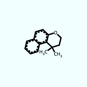 CC1(C)CCOc2ccc3ccccc3c21